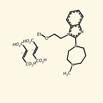 CCOCCn1c(N2CCCN(C)CC2)nc2ccccc21.O=C(O)/C=C/C(=O)O.O=C(O)/C=C/C(=O)O